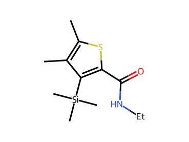 CCNC(=O)c1sc(C)c(C)c1[Si](C)(C)C